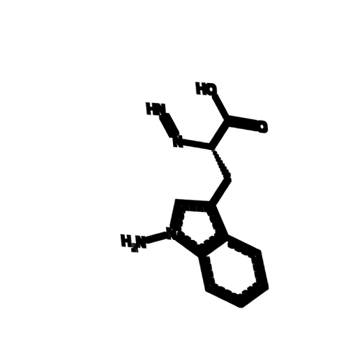 N=N[C@@H](Cc1cn(N)c2ccccc12)C(=O)O